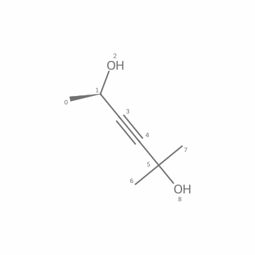 C[C@@H](O)C#CC(C)(C)O